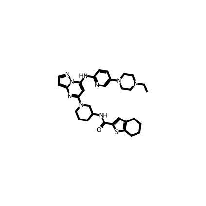 CCN1CCN(c2ccc(Nc3cc(N4CCCC(NC(=O)c5cc6c(s5)CCCC6)C4)nc4ccnn34)nc2)CC1